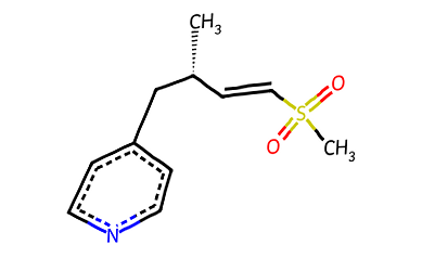 C[C@H](/C=C/S(C)(=O)=O)Cc1ccncc1